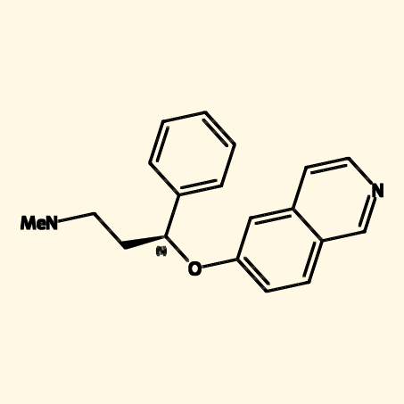 CNCC[C@H](Oc1ccc2cnccc2c1)c1ccccc1